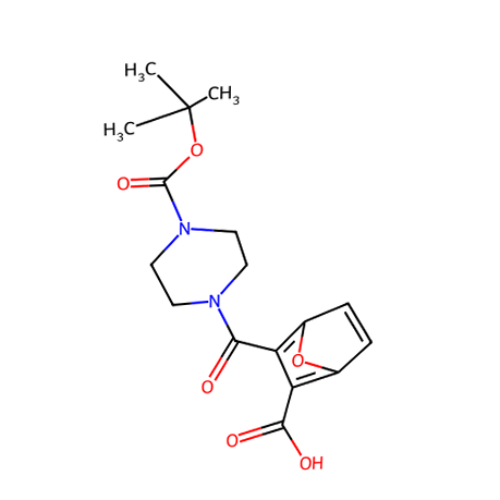 CC(C)(C)OC(=O)N1CCN(C(=O)c2c(C(=O)O)c3ccc2o3)CC1